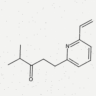 C=Cc1cccc(CCC(=O)C(C)C)n1